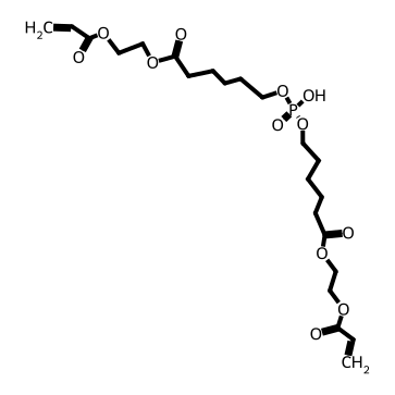 C=CC(=O)OCCOC(=O)CCCCCOP(=O)(O)OCCCCCC(=O)OCCOC(=O)C=C